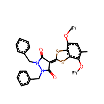 Cc1cc(OC(C)C)c2c(c1OC(C)C)SC(=C1C(=O)N(Cc3ccccc3)N(Cc3ccccc3)C1=O)S2